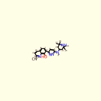 CN(c1ccc(-c2ccc3ccc(C#N)nc3c2O)nn1)C1CC(C)(C)NC(C)(C)C1